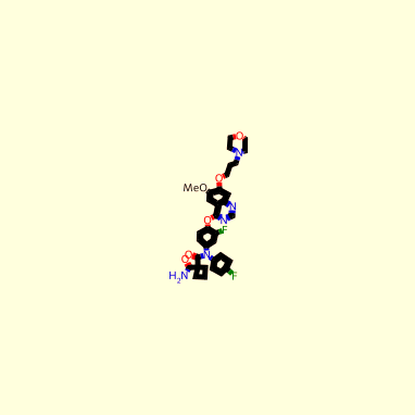 COc1cc2c(Oc3ccc(N(C(=O)C4(C(N)=O)CCC4)c4ccc(F)cc4)cc3F)ncnc2cc1OCCCN1CCOCC1